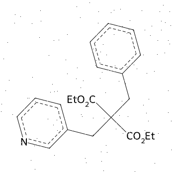 CCOC(=O)C(Cc1ccccc1)(Cc1cccnc1)C(=O)OCC